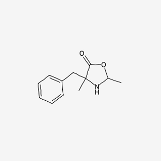 CC1NC(C)(Cc2ccccc2)C(=O)O1